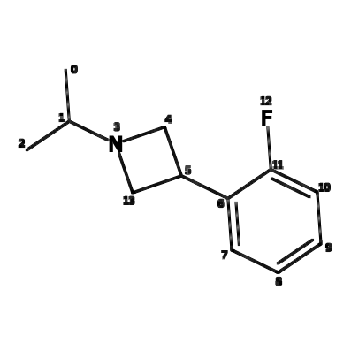 CC(C)N1CC(c2ccccc2F)C1